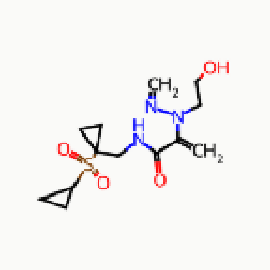 C=NN(CCO)C(=C)C(=O)NCC1(S(=O)(=O)C2CC2)CC1